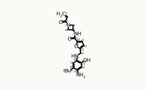 C=CC(=O)N1CC(NC(=O)c2ccc(CNc3cc(C(C)(C)C)c(N)cc3O)o2)C1